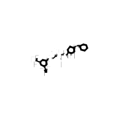 O=C(COc1cc(C(F)(F)F)cc(C(F)(F)F)c1)NC(=O)Nc1ccc(Oc2ccccc2)cc1